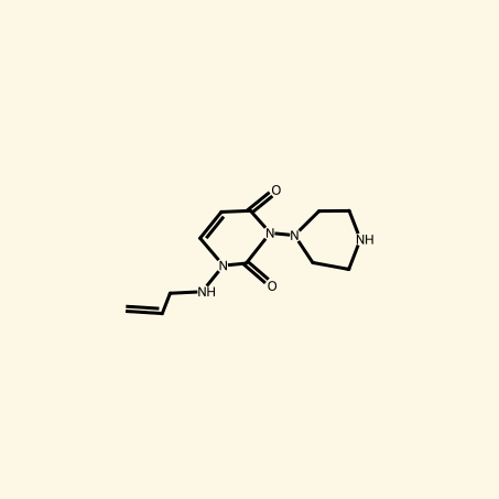 C=CCNn1ccc(=O)n(N2CCNCC2)c1=O